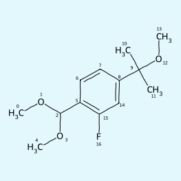 COC(OC)c1ccc(C(C)(C)OC)cc1F